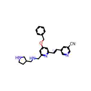 N#Cc1cncc(/C=C/c2cc(OCc3ccccc3)cc(CNCC3CCNC3)n2)c1